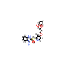 Cc1c(OCCC2COC3(CCCC3)O2)ccnc1C[S+]([O-])c1nc2ccccc2[nH]1